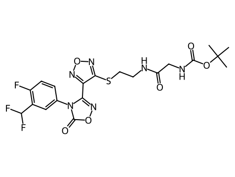 CC(C)(C)OC(=O)NCC(=O)NCCSc1nonc1-c1noc(=O)n1-c1ccc(F)c(C(F)F)c1